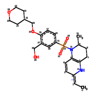 C/C=C1/C=CC2=C(CCC(C)N2S(=O)(=O)c2ccc(OCC3CCOCC3)c(CO)c2)N1